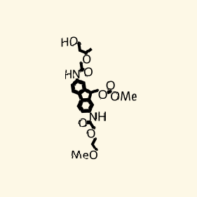 COCCCOCC(=O)Nc1ccc2c(c1)C(COC(=O)OC)c1cc(NC(=O)COC(C)CCO)ccc1-2